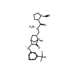 C[C@@H](c1cccc(C(F)(F)F)c1)N1C(=O)[C@@H]2CC1CN2C[C@H](N)C(=O)N1CCC[C@H]1C#N